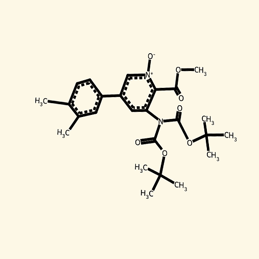 COC(=O)c1c(N(C(=O)OC(C)(C)C)C(=O)OC(C)(C)C)cc(-c2ccc(C)c(C)c2)c[n+]1[O-]